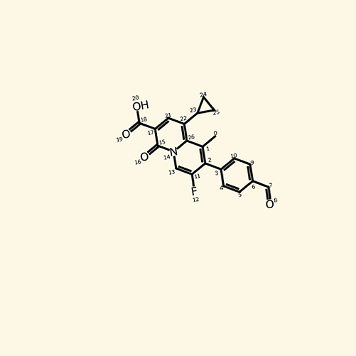 Cc1c(-c2ccc(C=O)cc2)c(F)cn2c(=O)c(C(=O)O)cc(C3CC3)c12